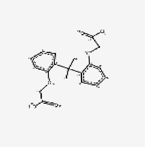 CC(C)(c1ccccc1OCC(=O)O)c1ccccc1OCC(=O)O